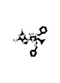 CC(=O)O[C@H]1[C@H](n2cnc3c(N)nc(F)nc32)O[C@](C=C2CC2)(COCc2ccccc2)[C@H]1OCc1ccccc1